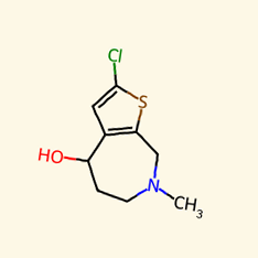 CN1CCC(O)c2cc(Cl)sc2C1